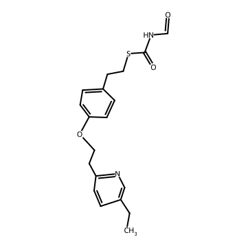 CCc1ccc(CCOc2ccc(CCSC(=O)NC=O)cc2)nc1